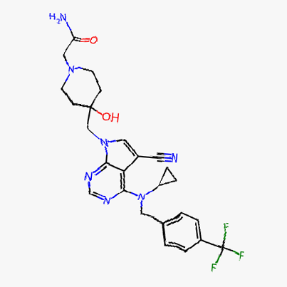 N#Cc1cn(CC2(O)CCN(CC(N)=O)CC2)c2ncnc(N(Cc3ccc(C(F)(F)F)cc3)C3CC3)c12